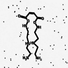 NCCNCCNOC(=O)/C=C\C(=O)ONCCNCCN